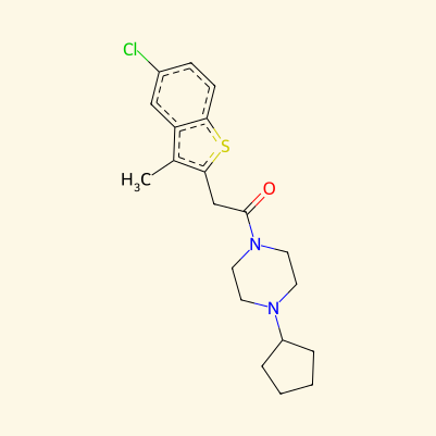 Cc1c(CC(=O)N2CCN(C3CCCC3)CC2)sc2ccc(Cl)cc12